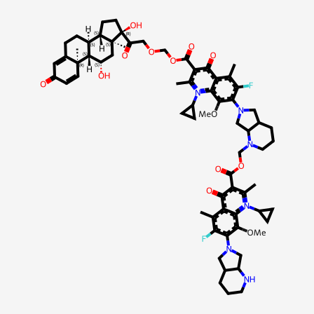 COc1c(N2CC3CCCNC3C2)c(F)c(C)c2c(=O)c(C(=O)OCN3CCCC4CN(c5c(F)c(C)c6c(=O)c(C(=O)OCOCC(=O)[C@@]7(O)CC[C@H]8[C@@H]9CCC%10=CC(=O)C=C[C@]%10(C)[C@H]9[C@@H](O)C[C@@]87C)c(C)n(C7CC7)c6c5OC)CC43)c(C)n(C3CC3)c12